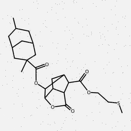 CSCCOC(=O)C1C2CC3C(OC(=O)C31)C2OC(=O)C1(C)CC2CC(C)CC(C2)C1